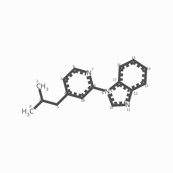 CC(C)Cc1ccnc(-n2cnc3ccccc32)c1